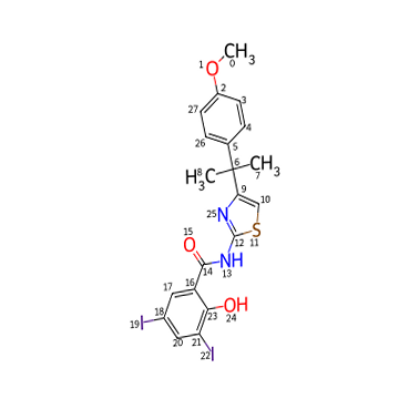 COc1ccc(C(C)(C)c2csc(NC(=O)c3cc(I)cc(I)c3O)n2)cc1